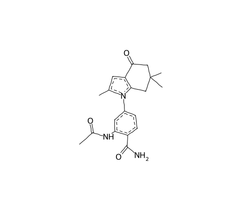 CC(=O)Nc1cc(-n2c(C)cc3c2CC(C)(C)CC3=O)ccc1C(N)=O